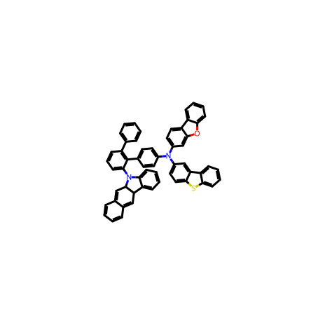 C1=c2ccccc2=CC2C1c1ccccc1N2c1cccc(-c2ccccc2)c1-c1ccc(N(c2ccc3c(c2)oc2ccccc23)c2ccc3sc4ccccc4c3c2)cc1